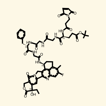 CC[C@@]1(O)C(=O)OCc2c1cc1n(c2=O)Cc2c-1nc1cc(F)c(C)c3c1c2[C@@H](NC(=O)CNC(=O)[C@H](Cc1ccccc1)NC(=O)CNC(=O)CNC(=O)[C@H](CCC(=O)OC(C)(C)C)NC(=O)CCN1C(=O)C=CC1=O)CC3